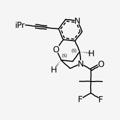 CC(C)C#Cc1cncc2c1O[C@H]1C[C@@H]2N(C(=O)C(C)(C)C(F)F)C1